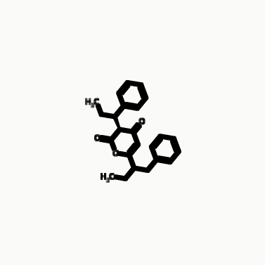 CCC(Cc1ccccc1)C1=CC(=O)[C@H](C(CC)c2ccccc2)C(=O)O1